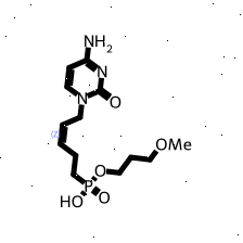 COCCCOP(=O)(O)CC/C=C\Cn1ccc(N)nc1=O